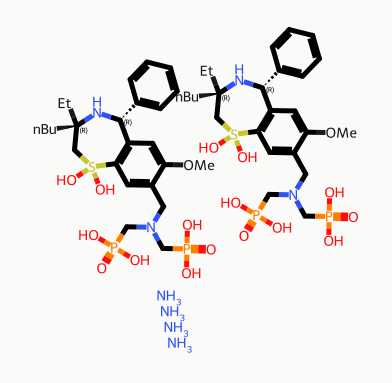 CCCC[C@]1(CC)CS(O)(O)c2cc(CN(CP(=O)(O)O)CP(=O)(O)O)c(OC)cc2[C@@H](c2ccccc2)N1.CCCC[C@]1(CC)CS(O)(O)c2cc(CN(CP(=O)(O)O)CP(=O)(O)O)c(OC)cc2[C@@H](c2ccccc2)N1.N.N.N.N